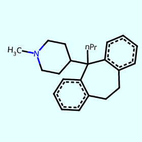 CCCC1(C2CCN(C)CC2)c2ccccc2CCc2ccccc21